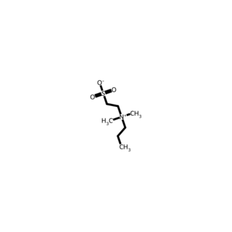 CCC[N+](C)(C)CCS(=O)(=O)[O-]